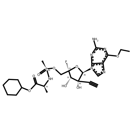 C#C[C@]1(O)[C@H](n2cnc3c(OCC)nc(N)nc32)O[C@](F)(CO[P@@](C)(=O)N[C@@H](C)C(=O)OC2CCCCC2)[C@H]1O